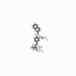 CCC(O)(CCc1ccc(OCc2ccc3ccccc3n2)c(OC)c1)C(F)(F)F